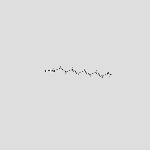 CCCCCCCCC=CC=CC=CC(C)=O